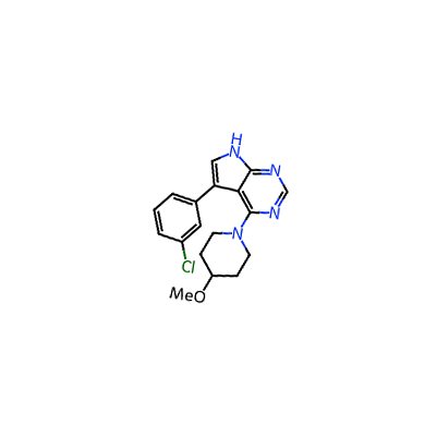 COC1CCN(c2ncnc3[nH]cc(-c4cccc(Cl)c4)c23)CC1